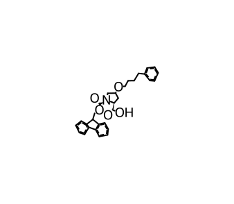 O=C(O)[C@@H]1C[C@H](OCCCCc2ccccc2)CN1C(=O)OCC1c2ccccc2-c2ccccc21